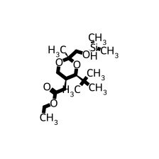 CCOC(=O)C[C@H]1CO[C@@](C)(CO[SiH](C)C)O[C@H]1C(C)(C)C